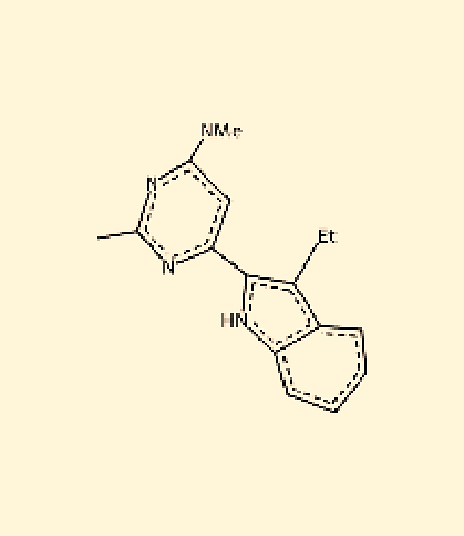 CCc1c(-c2cc(NC)nc(C)n2)[nH]c2ccccc12